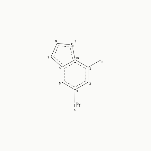 Cc1cc(C(C)C)cc2ccsc12